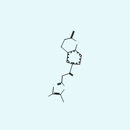 CC1=C(C)SC(CC(=O)c2ccc3c(c2)CCC(=O)N3)=[N+]1